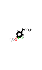 Cl.O=C(O)Cc1ccc(OC(F)(F)F)cc1